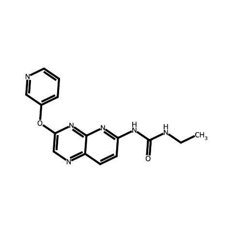 CCNC(=O)Nc1ccc2ncc(Oc3cccnc3)nc2n1